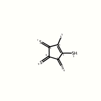 S=c1c(S)c(I)c(=S)c1=S